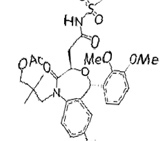 COc1cccc([C@H]2O[C@H](CC(=O)NS(C)(=O)=O)C(=O)N(CC(C)(C)COC(C)=O)c3ccc(Cl)cc32)c1OC